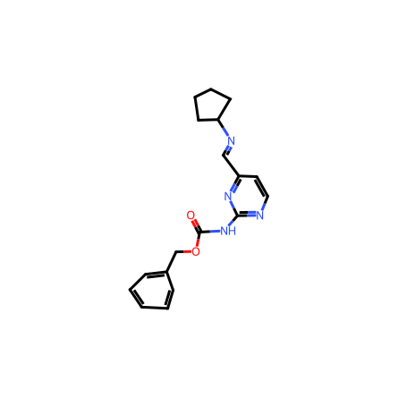 O=C(Nc1nccc(C=NC2CCCC2)n1)OCc1ccccc1